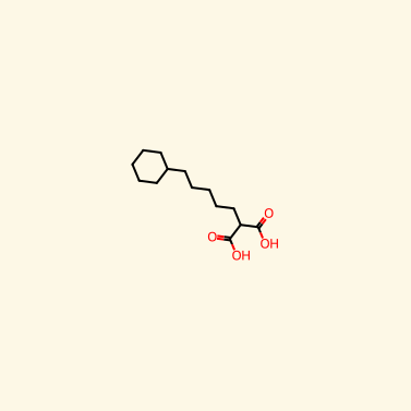 O=C(O)C(CCCCCC1CCCCC1)C(=O)O